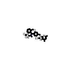 CCc1nc2c(C)cc(C)nc2n1Cc1ccc2c(c1)OCc1ccccc1/C2=C(/C)c1noc(=O)[nH]1